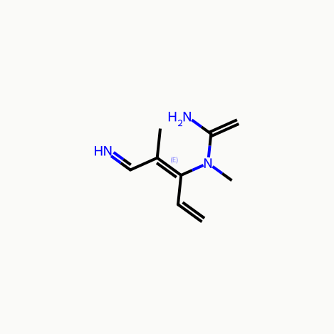 C=C/C(=C(/C)C=N)N(C)C(=C)N